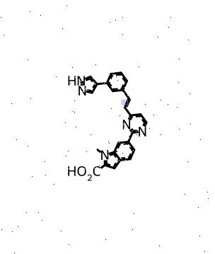 Cn1c(C(=O)O)cc2ccc(-c3nccc(/C=C/c4cccc(-c5cn[nH]c5)c4)n3)cc21